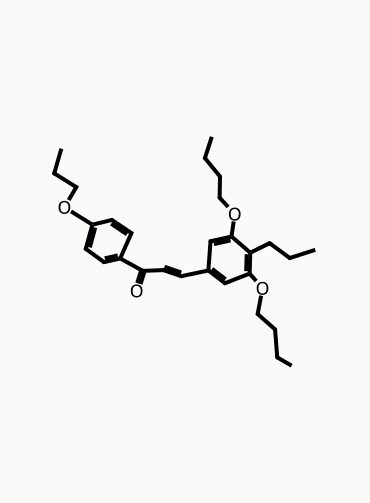 CCCCOc1cc(C=CC(=O)c2ccc(OCCC)cc2)cc(OCCCC)c1CCC